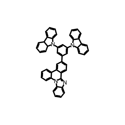 C1=CC2c3ccccc3N(c3cc(-c4ccc5c(c4)c4ccccc4n4c6ccccc6nc54)cc(-n4c5ccccc5c5ccccc54)c3)C2C=C1